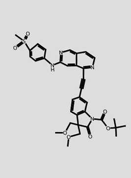 COCC1(COC)C(=O)N(C(=O)OC(C)(C)C)c2cc(C#Cc3nccc4cnc(Nc5ccc(S(C)(=O)=O)cc5)cc34)ccc21